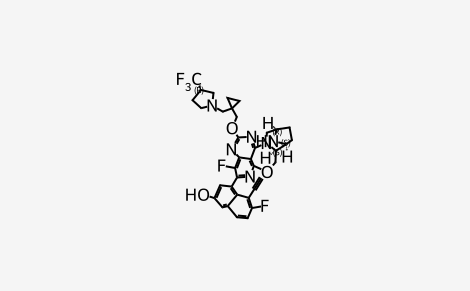 C#Cc1c(F)ccc2cc(O)cc(-c3nc4c5c(nc(OCC6(CN7CC[C@@H](C(F)(F)F)C7)CC6)nc5c3F)N3C[C@H]5CC[C@H](N5)[C@H]3CO4)c12